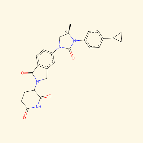 C[C@@H]1CN(c2ccc3c(c2)CN(C2CCC(=O)NC2=O)C3=O)C(=O)N1c1ccc(C2CC2)cc1